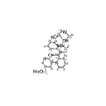 COCc1cncc(-c2cccc3cc([C@H](C)Nc4nc(C)ncc4C#N)n(-c4ccccc4)c(=O)c23)c1